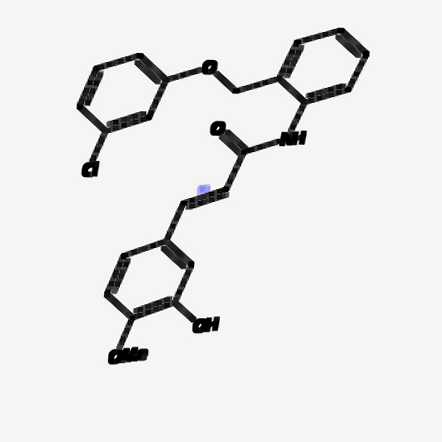 COc1ccc(/C=C/C(=O)Nc2ccccc2COc2cccc(Cl)c2)cc1O